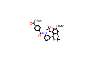 COC(=O)c1ccc(C(=O)Nc2cccc(C3=NC(C)(C)Cc4cc(OC)c5c(c43)CC(C)(C)O5)c2)cc1